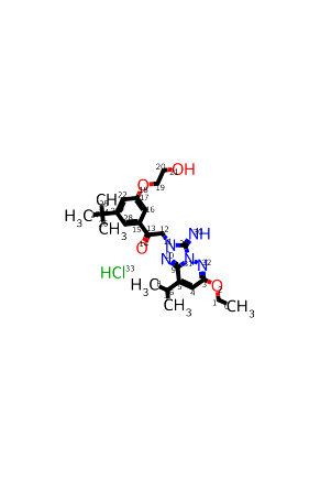 CCOc1cc(C(C)C)c2nn(CC(=O)c3cc(OCCO)cc(C(C)(C)C)c3)c(=N)n2n1.Cl